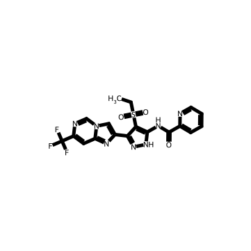 CCS(=O)(=O)c1c(-c2cn3cnc(C(F)(F)F)cc3n2)n[nH]c1NC(=O)c1ccccn1